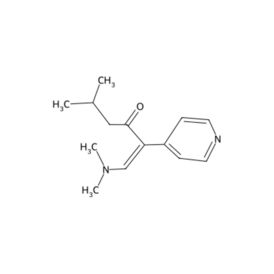 CC(C)CC(=O)/C(=C\N(C)C)c1ccncc1